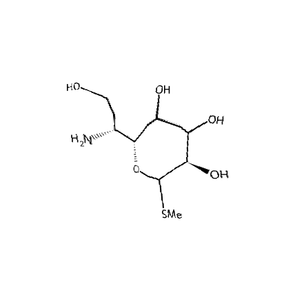 CSC1O[C@H]([C@H](N)CO)C(O)C(O)[C@H]1O